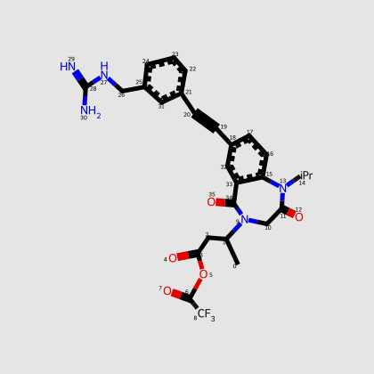 CC(CC(=O)OC(=O)C(F)(F)F)N1CC(=O)N(C(C)C)c2ccc(C#Cc3cccc(CNC(=N)N)c3)cc2C1=O